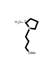 COCCCN1CCC[C@H]1C